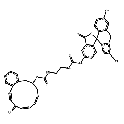 C=C1C#Cc2ccccc2CC(OC(=O)NCCNC(=S)Nc2ccc3c(c2)C(=O)OC32c3ccc(O)cc3Oc3cc(O)ccc32)C/C=C\C=C/1